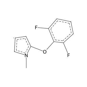 Cn1c[c]cc1Oc1c(F)cccc1F